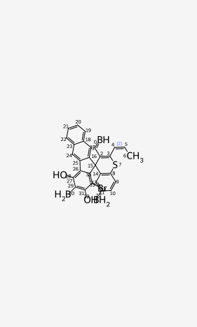 B=CC1=C(/C=C\C)Sc2ccc(B)cc2C12c1cc3ccccc3cc1-c1c(O)c(B)c(O)c(Br)c12